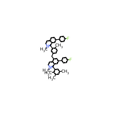 Cc1cc(C)c(C)c(-c2c3cc(-c4ccc(F)cc4)cc(Cc4ccc(C)c(-c5c6cc(-c7ccc(F)cc7)ccc6cc[n+]5C)c4)c3cc[n+]2C)c1